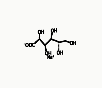 O=C([O-])[C@@H](O)[C@H](O)[C@@H](O)[C@@H](O)CO.[Na+]